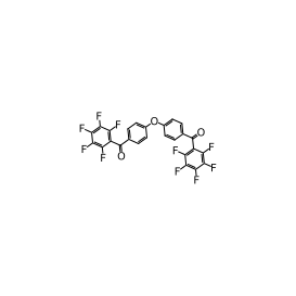 O=C(c1ccc(Oc2ccc(C(=O)c3c(F)c(F)c(F)c(F)c3F)cc2)cc1)c1c(F)c(F)c(F)c(F)c1F